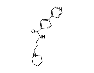 O=C(NCCCN1CCCCC1)c1ccc(-c2ccncc2)cc1